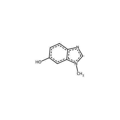 Cn1[c]nc2ccc(O)cc21